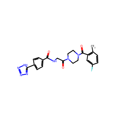 O=C(NCC(=O)N1CCN(C(=O)c2cc(F)ccc2C(F)(F)F)CC1)c1ccc(-c2nnn[nH]2)cc1